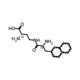 N[C@@H](CCNC(=O)[C@@H](N)Cc1ccc2ccccc2c1)C(=O)O